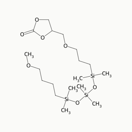 COCCCC[Si](C)(C)O[Si](C)(C)O[Si](C)(C)CCCOCC1COC(=O)O1